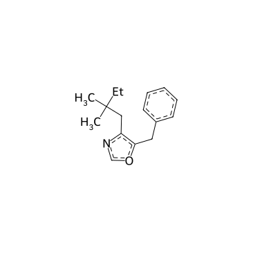 CCC(C)(C)Cc1ncoc1Cc1ccccc1